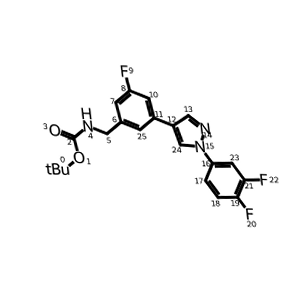 CC(C)(C)OC(=O)NCc1cc(F)cc(-c2cnn(-c3ccc(F)c(F)c3)c2)c1